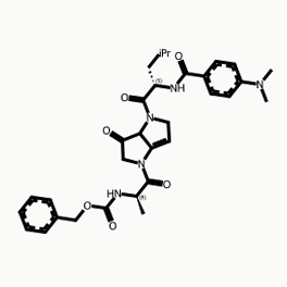 CC(C)C[C@H](NC(=O)c1ccc(N(C)C)cc1)C(=O)N1CC=C2C1C(=O)CN2C(=O)[C@@H](C)NC(=O)OCc1ccccc1